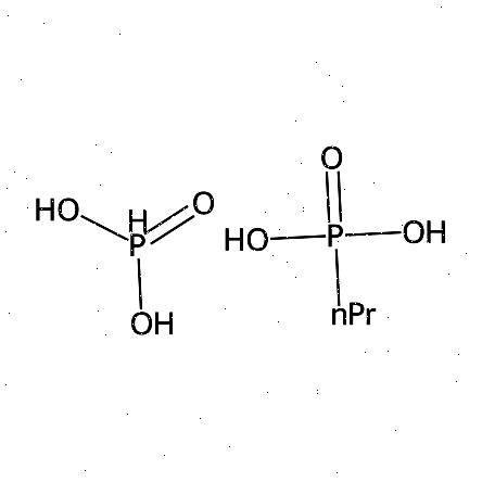 CCCP(=O)(O)O.O=[PH](O)O